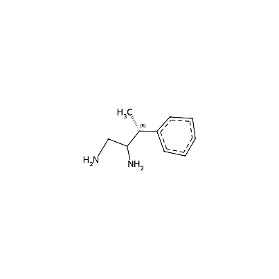 C[C@H](c1ccccc1)C(N)CN